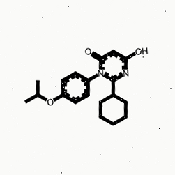 CC(C)Oc1ccc(-n2c(C3CCCCC3)nc(O)cc2=O)cc1